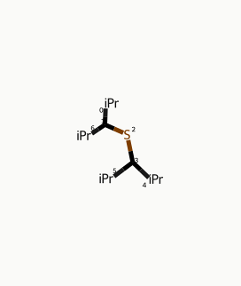 CC(C)C(SC(C(C)C)C(C)C)C(C)C